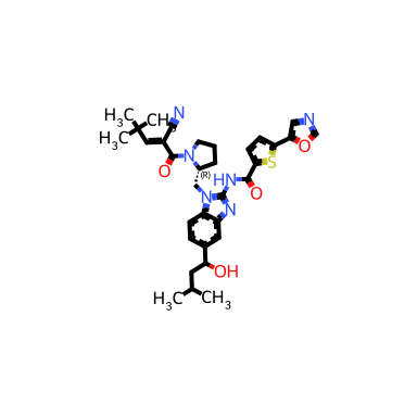 CC(C)CC(O)c1ccc2c(c1)nc(NC(=O)c1ccc(-c3cnco3)s1)n2C[C@H]1CCCN1C(=O)C(C#N)=CC(C)(C)C